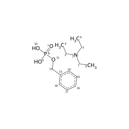 CCN(CC)CC.O=P(O)(O)OCc1ccccc1